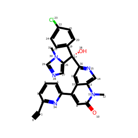 C#Cc1cccc(-c2cc(=O)n(C)c3cnc([C@](O)(c4ccc(Cl)cc4)c4cncn4C)cc23)n1